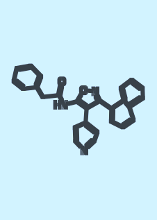 O=C(Cc1ccccc1)Nc1onc(-c2cccc3ccccc23)c1-c1ccncc1